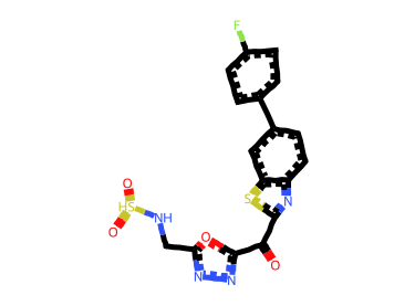 O=C(c1nnc(CN[SH](=O)=O)o1)c1nc2ccc(-c3ccc(F)cc3)cc2s1